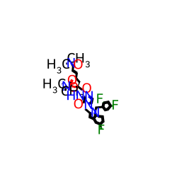 CN(C)C(=O)/C=C/CC[C@H](OC(=O)N(C)C)C(=O)Nc1nccn(Cc2cc3cc(F)ccc3n2Cc2ccc(F)cc2F)c1=O